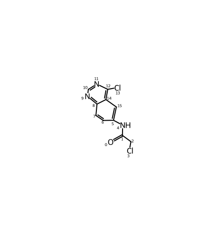 O=C(CCl)Nc1ccc2ncnc(Cl)c2c1